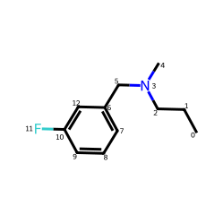 CCCN(C)Cc1cccc(F)c1